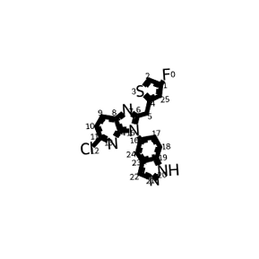 Fc1csc(Cc2nc3ccc(Cl)nc3n2-c2ccc3[nH]ncc3c2)c1